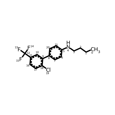 CCCCNc1ccc(-c2cc(C(F)(F)F)ccc2Cl)cc1